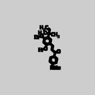 C=CC(C)(C)c1cc(C=CC(=O)c2ccc(NC)cc2)c(OCC)cc1OCC